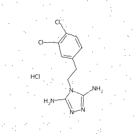 Cl.Nc1nnc(N)n1CCc1ccc(Cl)c(Cl)c1